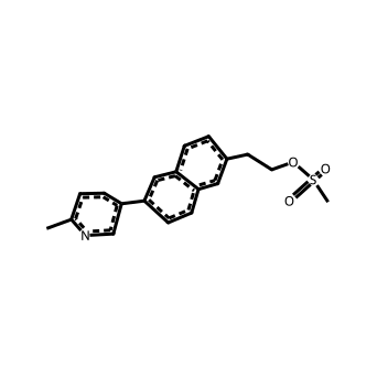 Cc1ccc(-c2ccc3cc(CCOS(C)(=O)=O)ccc3c2)cn1